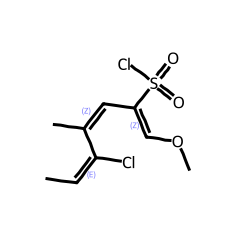 C\C=C(Cl)/C(C)=C\C(=C\OC)S(=O)(=O)Cl